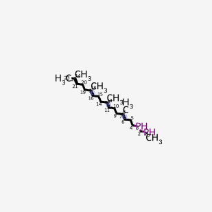 CPCPCC/C=C(\C)CC/C=C(\C)CC/C=C(\C)CCC=C(C)C